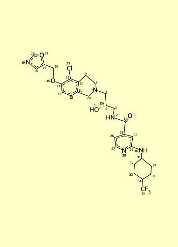 O=C(NC[C@H](O)CN1CCc2c(ccc(OCc3cnco3)c2Cl)C1)c1ccnc(NC2CCC(C(F)(F)F)CC2)c1